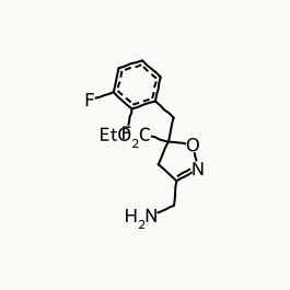 CCOC(=O)C1(Cc2cccc(F)c2F)CC(CN)=NO1